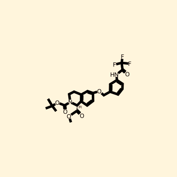 COC(=O)[C@H]1c2ccc(OCc3cccc(NC(=O)C(F)(F)F)c3)cc2CCN1C(=O)OC(C)(C)C